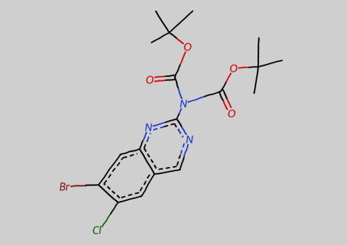 CC(C)(C)OC(=O)N(C(=O)OC(C)(C)C)c1ncc2cc(Cl)c(Br)cc2n1